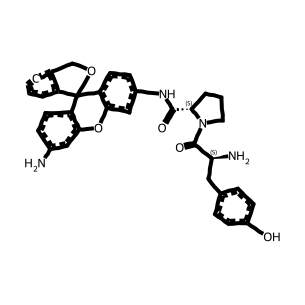 Nc1ccc2c(c1)Oc1cc(NC(=O)[C@@H]3CCCN3C(=O)[C@@H](N)Cc3ccc(O)cc3)ccc1C21OCc2ccccc21